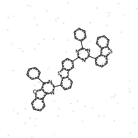 c1ccc(-c2nc(-c3ccc4sc5c(-c6nc(-c7ccccc7)c7oc8ccccc8c7n6)cccc5c4c3)nc(-c3cccc4sc5ccccc5c34)n2)cc1